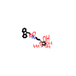 O=C(NCCC[C@H]1O[C@H](CO)[C@@H](O)[C@H](O)[C@@H]1O)OCC1c2ccccc2-c2ccccc21